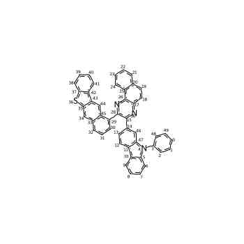 c1ccc(-n2c3ccccc3c3ccc(-c4nc5ccc6ccccc6c5nc4-c4cccc5cc6sc7ccccc7c6cc45)cc32)cc1